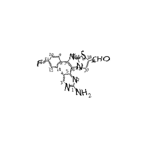 Nc1nccc(-c2c(-c3ccc(F)cc3)nc3sc(C=O)cn23)n1